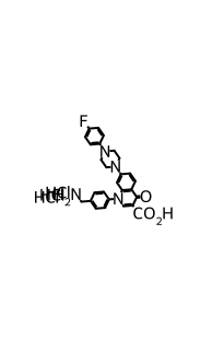 Cl.Cl.Cl.NCc1ccc(-n2cc(C(=O)O)c(=O)c3ccc(N4CCN(c5ccc(F)cc5)CC4)cc32)cc1